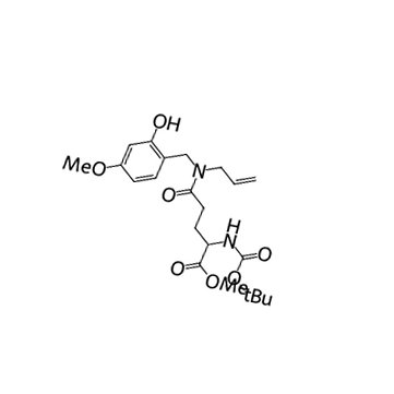 C=CCN(Cc1ccc(OC)cc1O)C(=O)CCC(NC(=O)OC(C)(C)C)C(=O)OC